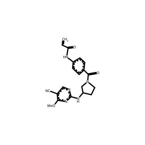 C=CC(=O)Nc1ccc(C(=O)N2CCC(Nc3ncc(C#N)c(OC)n3)C2)cc1